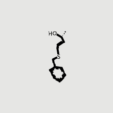 C[C@@H](O)C=CSCc1ccccc1